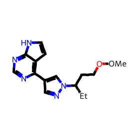 CCC(CCOOC)n1cc(-c2ncnc3[nH]ccc23)cn1